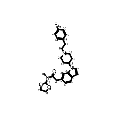 CN(C(=O)Cc1ccc2ccn(C3CCN(CCc4ccc(F)cc4)CC3)c2c1)C1OCCO1